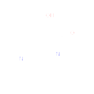 Cn1c(=O)c(O)cc2ncccc21